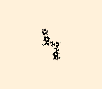 CC(=O)c1cn(CC(=O)N2C[C@H](F)C[C@H]2C(=O)Nc2ccc3cn[nH]c3c2)c2ccc(Nc3cncnc3)cc12